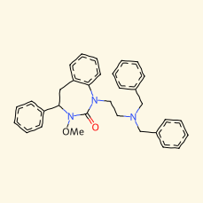 CON1C(=O)N(CCN(Cc2ccccc2)Cc2ccccc2)c2ccccc2CC1c1ccccc1